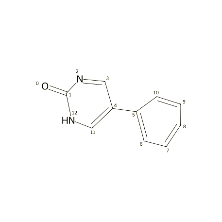 O=c1ncc(-c2ccccc2)c[nH]1